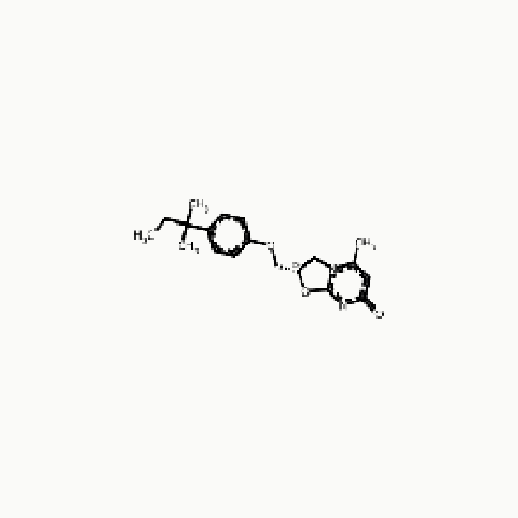 CCC(C)(C)c1ccc(OC[C@@H]2Cn3c(C)cc(=O)nc3O2)cc1